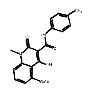 COc1cccc2c1c(O)c(C(=O)Nc1ccc(C(F)(F)F)cc1)c(=O)n2C